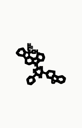 CC1(C)c2ccccc2-c2ccc3c(c21)c1ccccc1n3-c1nc(-c2ccccc2)nc(-c2ccc3c(c2)oc2ccccc23)n1